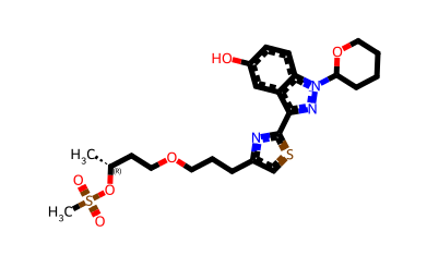 C[C@H](CCOCCCc1csc(-c2nn(C3CCCCO3)c3ccc(O)cc23)n1)OS(C)(=O)=O